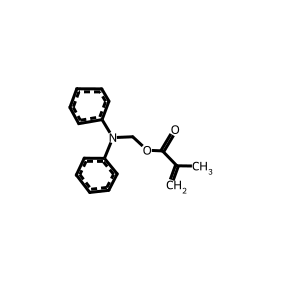 C=C(C)C(=O)OCN(c1ccccc1)c1ccccc1